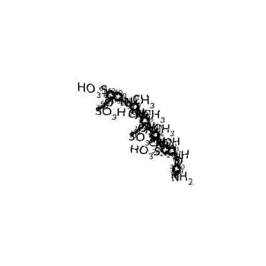 Cc1cc(N=Nc2cc(OCCCS(=O)(=O)O)c(N=Nc3cc(C)c(N=Nc4c(S(=O)(=O)O)cc5cc(NCOc6ccc(N)cc6)ccc5c4O)cc3C)cc2C)c(C)cc1N=Nc1ccc2cc(S(=O)(=O)O)cc(OCCCS(=O)(=O)O)c2c1